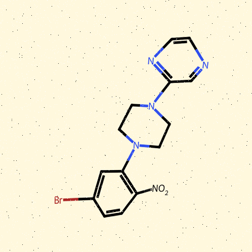 O=[N+]([O-])c1ccc(Br)cc1N1CCN(c2cnccn2)CC1